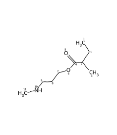 CCC(C)C(=O)OCCCNC